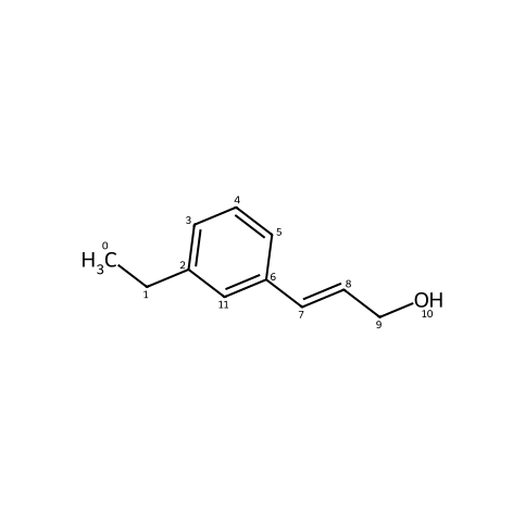 CCc1cccc(/C=C/CO)c1